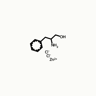 NC(CO)Cc1ccccc1.[Cl-].[Cl-].[Zn+2]